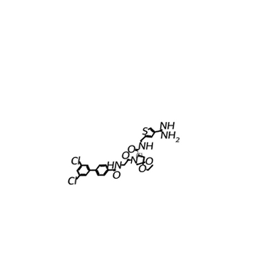 N=C(N)c1csc(CNC(=O)[C@@H]2CC3(CN2C(=O)CNC(=O)c2ccc(-c4cc(Cl)cc(Cl)c4)cc2)OCCO3)c1